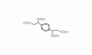 CCCCCCCCCCCC(NC)c1ccc(C(CCCCCCCCCCC)NC)cc1